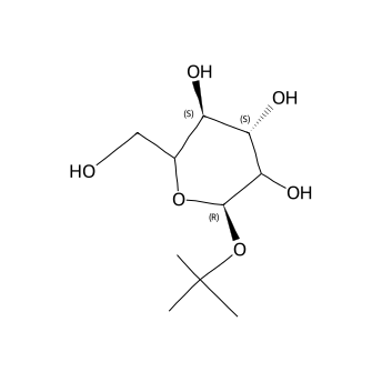 CC(C)(C)O[C@H]1OC(CO)[C@@H](O)[C@H](O)C1O